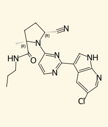 CCCNC(=O)[C@@]1(C)CC[C@H](C#N)N1c1ccnc(-c2c[nH]c3ncc(Cl)cc23)n1